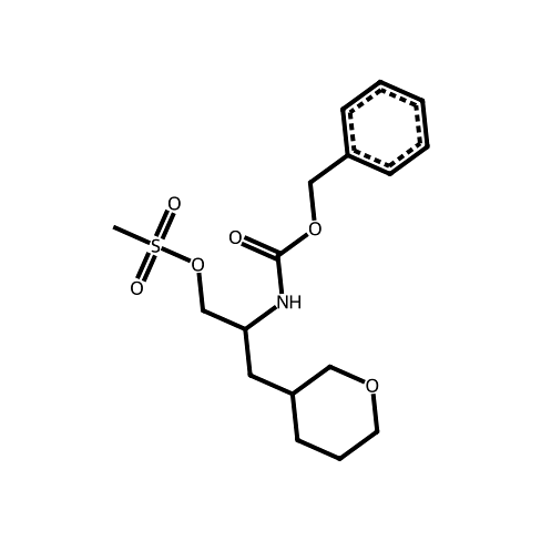 CS(=O)(=O)OCC(CC1CCCOC1)NC(=O)OCc1ccccc1